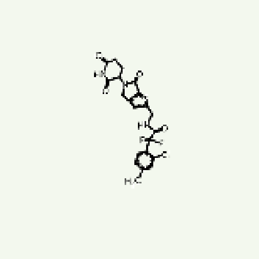 Cc1ccc(C(F)(F)C(=O)NCc2cc3c(s2)C(=O)N(C2CCC(=O)NC2=O)C3)c(Cl)c1